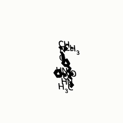 CCNCCC(=O)C(Cc1ccc(OCCN(CC)CC)cc1)NC(=O)c1ccccc1